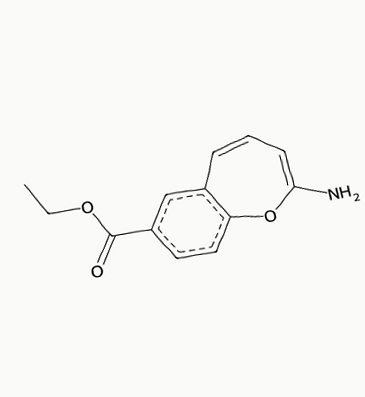 CCOC(=O)c1ccc2c(c1)C=CC=C(N)O2